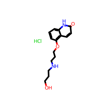 Cl.O=c1ccc2c(OCCCNCCCO)cccc2[nH]1